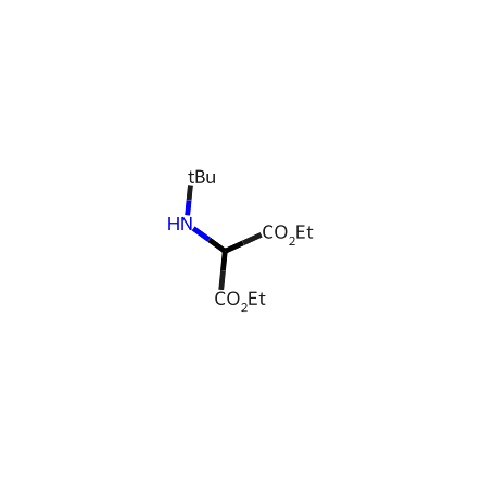 CCOC(=O)C(NC(C)(C)C)C(=O)OCC